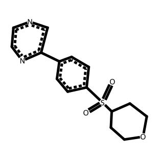 O=S(=O)(c1ccc(-c2cnccn2)cc1)C1CCOCC1